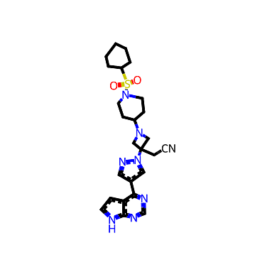 N#CCC1(n2cc(-c3ncnc4[nH]ccc34)cn2)CN(C2CCN(S(=O)(=O)C3CCCCC3)CC2)C1